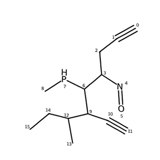 C#CCC(N=O)C(PC)C(C#C)C(C)CC